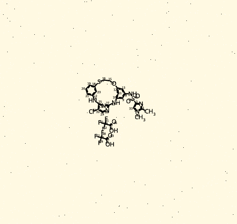 Cc1nc(S(=O)(=O)Nc2cc3cc(c2)OCCSc2cccc(c2)Nc2nc(ncc2Cl)N3)cn1C.O=C(O)C(F)(F)F.O=C(O)C(F)(F)F